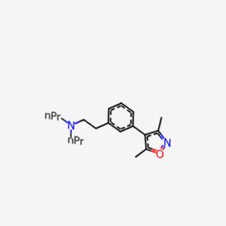 CCCN(CCC)CCc1cccc(-c2c(C)noc2C)c1